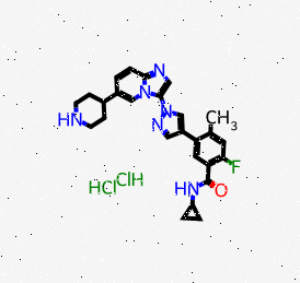 Cc1cc(F)c(C(=O)NC2CC2)cc1-c1cnn(-c2cnc3ccc(C4CCNCC4)cn23)c1.Cl.Cl